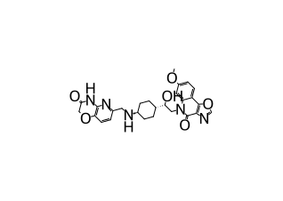 COc1ccc2c3ocnc3c(=O)n(CC(O)[C@H]3CC[C@H](NCc4ccc5c(n4)NC(=O)CO5)CC3)c2c1